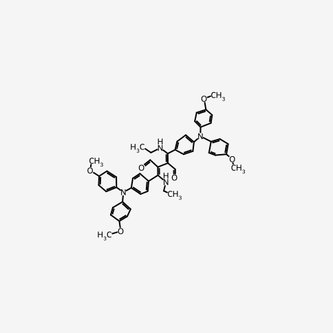 CCN/C(=C(C=O)\C(C=O)=C(/NCC)c1ccc(N(c2ccc(OC)cc2)c2ccc(OC)cc2)cc1)c1ccc(N(c2ccc(OC)cc2)c2ccc(OC)cc2)cc1